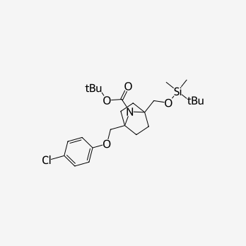 CC(C)(C)OC(=O)N1C2(COc3ccc(Cl)cc3)CCC1(CO[Si](C)(C)C(C)(C)C)CC2